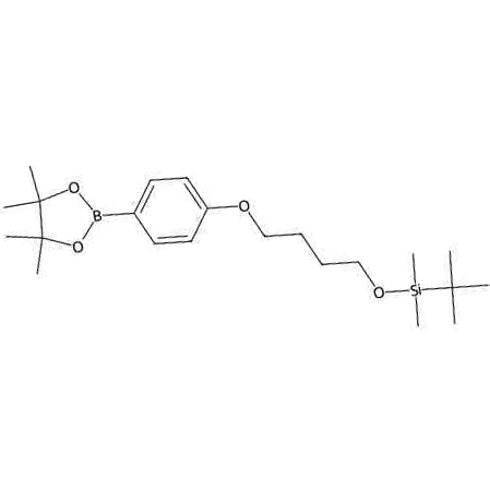 CC1(C)OB(c2ccc(OCCCCO[Si](C)(C)C(C)(C)C)cc2)OC1(C)C